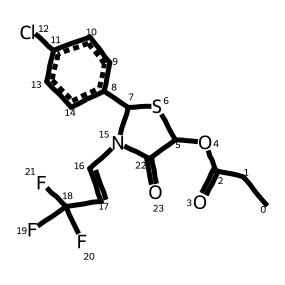 CCC(=O)OC1SC(c2ccc(Cl)cc2)N(/C=C/C(F)(F)F)C1=O